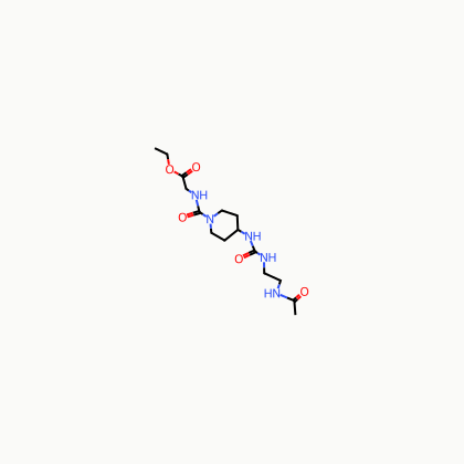 CCOC(=O)CNC(=O)N1CCC(NC(=O)NCCNC(C)=O)CC1